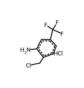 Cl.Nc1cc(C(F)(F)F)ccc1CCl